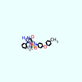 Cc1ccc(Oc2ccc(N(C[C@H](N[C@@H](C)c3ccccc3)C(N)=O)S(C)(=O)=O)cc2)cc1